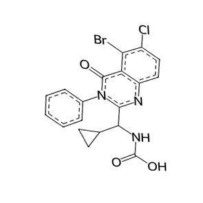 O=C(O)NC(c1nc2ccc(Cl)c(Br)c2c(=O)n1-c1ccccc1)C1CC1